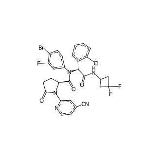 N#Cc1ccnc(N2C(=O)CC[C@H]2C(=O)N(c2ccc(Br)c(F)c2)[C@H](C(=O)NC2CC(F)(F)C2)c2ccccc2Cl)c1